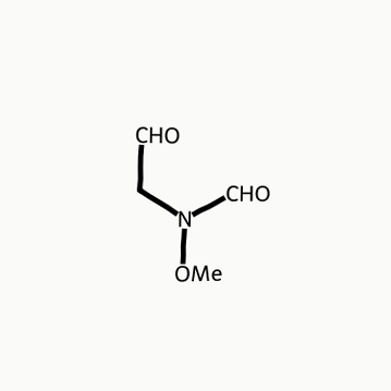 CON(C=O)CC=O